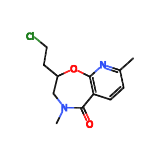 Cc1ccc2c(n1)OC(CCCl)CN(C)C2=O